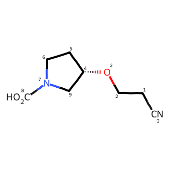 N#CCCO[C@H]1CCN(C(=O)O)C1